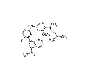 COc1cc(Nc2ncc(F)c(-n3cc(C(N)=O)c4ccccc43)n2)ccc1N(C)CCN(C)C